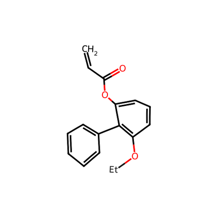 C=CC(=O)Oc1cccc(OCC)c1-c1ccccc1